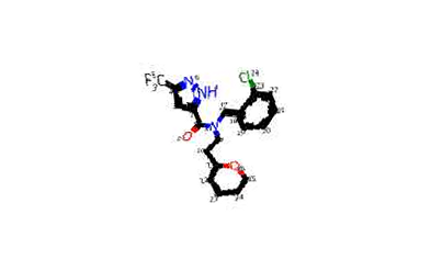 O=C(c1cc(C(F)(F)F)n[nH]1)N(CCC1CCCCO1)Cc1ccccc1Cl